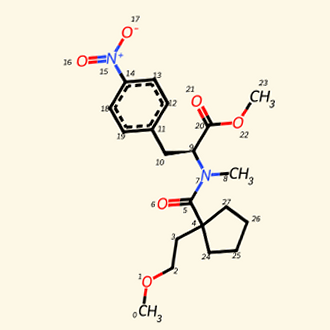 COCCC1(C(=O)N(C)[C@@H](Cc2ccc([N+](=O)[O-])cc2)C(=O)OC)CCCC1